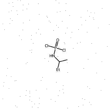 CCC(C)NP(=O)(Cl)Cl